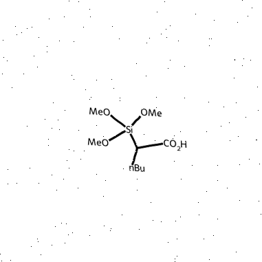 CCCCC(C(=O)O)[Si](OC)(OC)OC